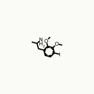 COc1c(I)ccc(CC(C)N)c1OC